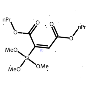 CCCOC(=O)/C=C(\C(=O)OCCC)[Si](OC)(OC)OC